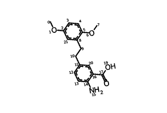 COc1ccc(OC)c(CCc2ccc(N)c(C(=O)O)c2)c1